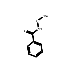 CCCCONC(=O)c1ccccc1